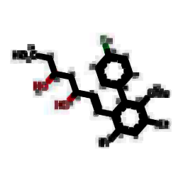 CCc1cc(C(C)C)c(/C=C/C(O)CC(O)CC(=O)O)c(-c2ccc(F)cc2)c1OC